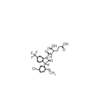 COc1ccc(Cl)cc1C1(F)C(=O)N(C(=O)NC(CCC(=O)O)C(=O)O)c2cc(C(F)(F)F)ccc21